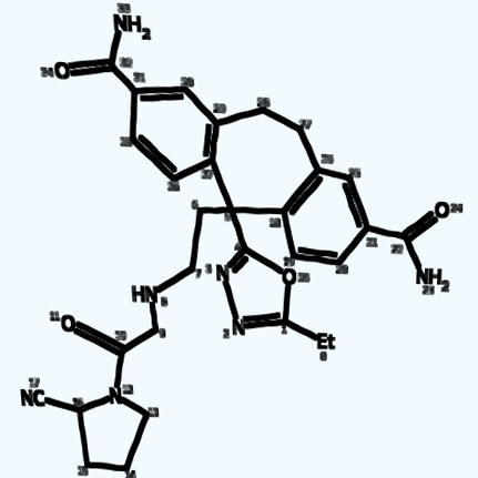 CCc1nnc(C2(CCNCC(=O)N3CCCC3C#N)c3ccc(C(N)=O)cc3CCc3cc(C(N)=O)ccc32)o1